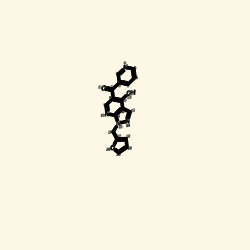 O=C(c1cccnc1)c1cnc2c(cnn2Cc2ccco2)c1O